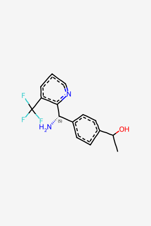 CC(O)c1ccc([C@H](N)c2ncccc2C(F)(F)F)cc1